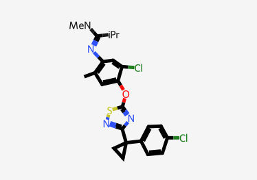 CNC(=Nc1cc(Cl)c(Oc2nc(C3(c4ccc(Cl)cc4)CC3)ns2)cc1C)C(C)C